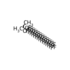 CCC=C(C)C(=O)OC(F)(F)C(F)(F)C(F)(F)C(F)(F)C(F)(F)C(F)(F)C(F)(F)C(F)(F)C(F)(F)C(F)(F)C(F)(F)C(F)(F)C(F)(F)C(F)(F)C(F)(F)F